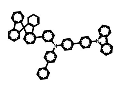 C1=CC2=C(CC1)C1(c3ccccc3-c3ccccc31)c1cccc(-c3cccc(N(c4ccc(-c5ccccc5)cc4)c4ccc(-c5ccc(-n6c7ccccc7c7ccccc76)cc5)cc4)c3)c12